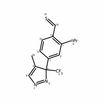 CCCc1cc(C2(C(F)(F)F)N=NC=C2C)ccc1C=S